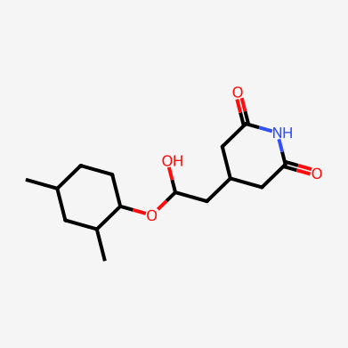 CC1CCC(OC(O)CC2CC(=O)NC(=O)C2)C(C)C1